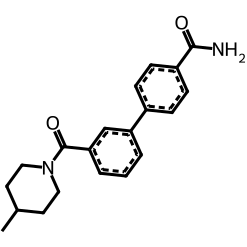 CC1CCN(C(=O)c2cccc(-c3ccc(C(N)=O)cc3)c2)CC1